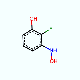 ONc1cccc(O)c1F